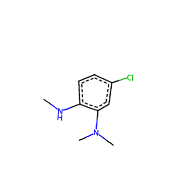 CNc1ccc(Cl)cc1N(C)C